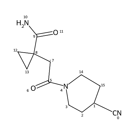 N#CC1CCN(C(=O)[CH]C2(C(N)=O)CC2)CC1